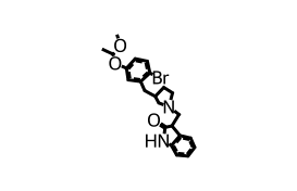 COC(C)Oc1ccc(Br)c(CC2CCN(CC3C(=O)Nc4ccccc43)C2)c1